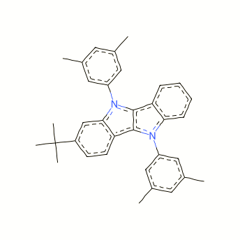 Cc1cc(C)cc(-n2c3ccccc3c3c2c2ccc(C(C)(C)C)cc2n3-c2cc(C)cc(C)c2)c1